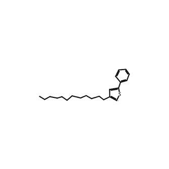 CCCCCCCCCCCCc1[c]sc(-c2ccccc2)c1